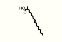 CCCCCCCC/C=C/CCCCCCC(C)C(=O)O